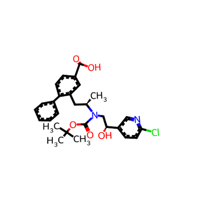 C[C@H](Cc1cc(C(=O)O)ccc1-c1ccccc1)N(C[C@H](O)c1ccc(Cl)nc1)C(=O)OC(C)(C)C